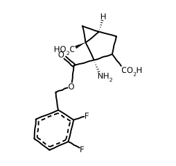 N[C@@]1(C(=O)OCc2cccc(F)c2F)C(C(=O)O)C[C@@H]2C[C@]21C(=O)O